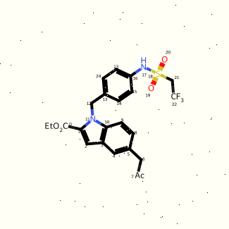 CCOC(=O)c1cc2cc(CC(C)=O)ccc2n1Cc1ccc(NS(=O)(=O)CC(F)(F)F)cc1